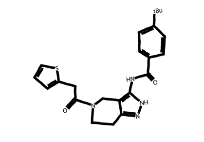 CC(C)(C)c1ccc(C(=O)Nc2[nH]nc3c2CN(C(=O)Cc2cccs2)CC3)cc1